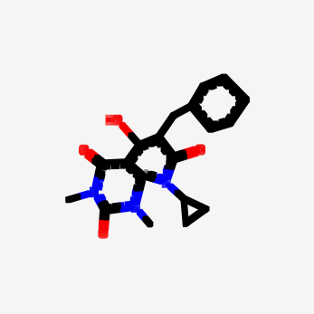 Cn1c(=O)c2c(O)c(Cc3ccccc3)c(=O)n(C3CC3)c2n(C)c1=O